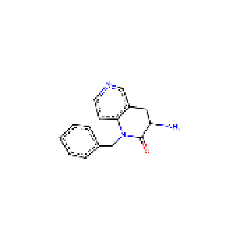 NC1Cc2cnccc2N(Cc2ccccc2)C1=O